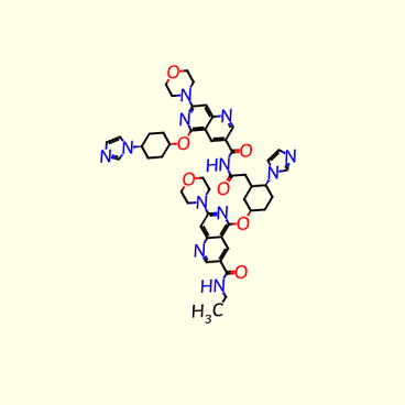 CCNC(=O)c1cnc2cc(N3CCOCC3)nc(O[C@@H]3CC[C@H](n4ccnc4)C(CC(=O)NC(=O)c4cnc5cc(N6CCOCC6)nc(O[C@H]6CC[C@@H](n7ccnc7)CC6)c5c4)C3)c2c1